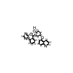 CC1CCC(Oc2cccc3ncccc23)CN1C(=O)c1ccccc1-n1cncn1